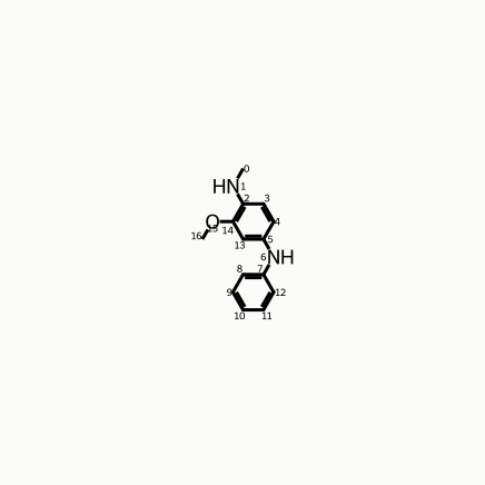 CNc1ccc(Nc2ccccc2)cc1OC